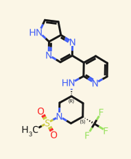 CS(=O)(=O)N1C[C@H](Nc2ncccc2-c2cnc3[nH]ccc3n2)C[C@H](C(F)(F)F)C1